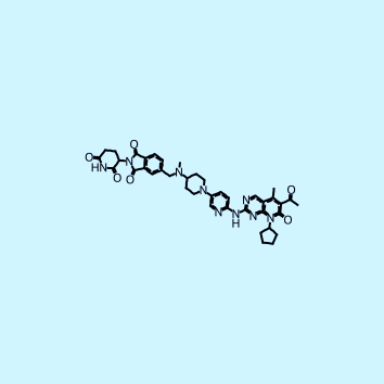 CC(=O)c1c(C)c2cnc(Nc3ccc(N4CCC(N(C)Cc5ccc6c(c5)C(=O)N(C5CCC(=O)NC5=O)C6=O)CC4)cn3)nc2n(C2CCCC2)c1=O